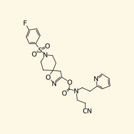 N#CCCN(CCc1ccccn1)C(=O)OC1=NOC2(CCN(S(=O)(=O)c3ccc(F)cc3)CC2)C1